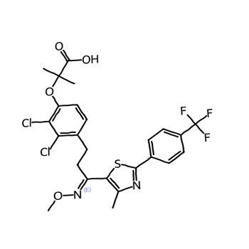 CO/N=C(\CCc1ccc(OC(C)(C)C(=O)O)c(Cl)c1Cl)c1sc(-c2ccc(C(F)(F)F)cc2)nc1C